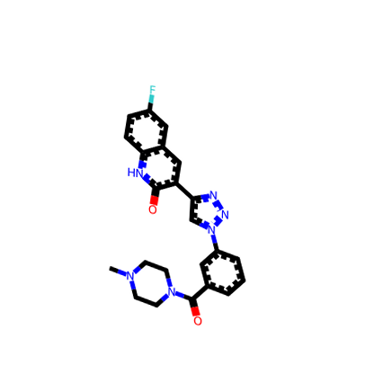 CN1CCN(C(=O)c2cccc(-n3cc(-c4cc5cc(F)ccc5[nH]c4=O)nn3)c2)CC1